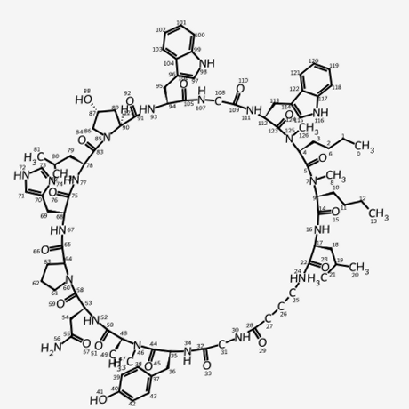 CCCC[C@H]1C(=O)N(C)[C@@H](CCCC)C(=O)N[C@@H](CC(C)C)C(=O)NCCCC(=O)NCC(=O)N[C@@H](Cc2ccc(O)cc2)C(=O)N(C)[C@@H](C)C(=O)N[C@@H](CC(N)=O)C(=O)N2CCCC2C(=O)N[C@@H](Cc2c[nH]cn2)C(=O)N[C@@H](CC(C)C)C(=O)N2C[C@H](O)C[C@H]2C(=O)N[C@@H](Cc2c[nH]c3ccccc23)C(=O)NCC(=O)N[C@@H](Cc2c[nH]c3ccccc23)C(=O)N1C